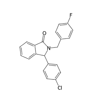 O=C1c2ccccc2C(c2ccc(Cl)cc2)N1Cc1ccc(F)cc1